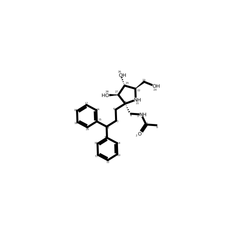 CC(=O)NC[C@@]1(CCC(c2ccccc2)c2ccccc2)N[C@H](CO)[C@@H](O)[C@@H]1O